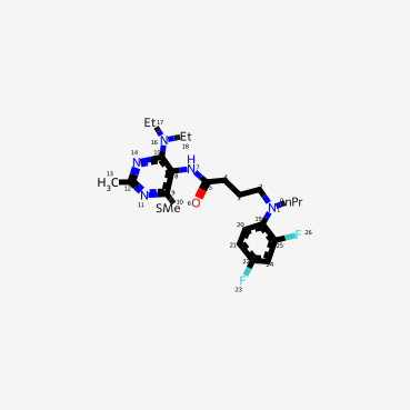 CCCN(CCCC(=O)Nc1c(SC)nc(C)nc1N(CC)CC)c1ccc(F)cc1F